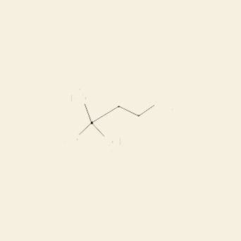 [CH2]CCC([O])(O)O